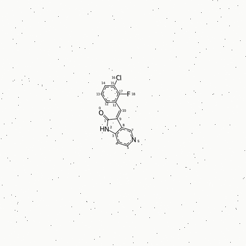 O=C1Nc2ccncc2C1=Cc1cccc(Cl)c1F